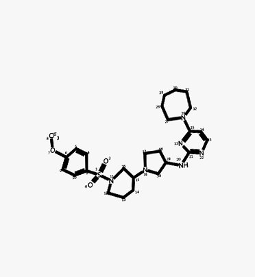 O=S(=O)(c1ccc(OC(F)(F)F)cc1)N1CCCC(N2CCC(Nc3nccc(N4CCCCCC4)n3)C2)C1